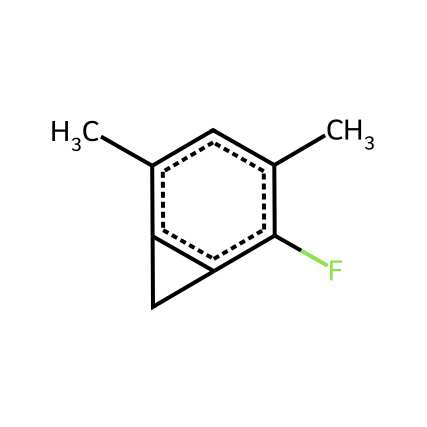 Cc1cc(C)c2c(c1F)C2